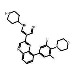 N=C/C(=C\NC1CCNCC1)c1cnc2cccc(-c3cc(F)c(N4CCOCC4)c(F)c3)c2n1